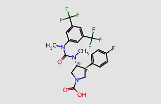 CN(C(=O)N(C)[C@H]1CN(C(=O)O)C[C@@H]1c1ccc(F)cc1)c1cc(C(F)(F)F)cc(C(F)(F)F)c1